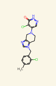 Cc1ccc(Cn2cnc3c2CCN(c2cn[nH]c(=O)c2Cl)C3)c(Cl)c1